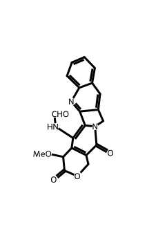 COC1C(=O)OCc2c1c(NC=O)c1n(c2=O)Cc2cc3ccccc3nc2-1